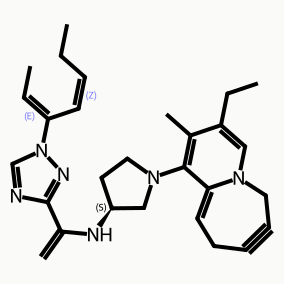 C=C(N[C@H]1CCN(C2=C(C)C(CC)=CN3CC#CCC=C23)C1)c1ncn(C(/C=C\CC)=C/C)n1